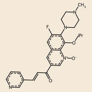 CC(C)Oc1c(N2CCN(C)CC2)c(F)cc2cc(C(=O)C=Cc3cccnc3)c[n+]([O-])c12